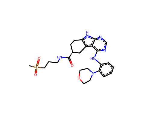 CS(=O)(=O)CCCNC(=O)[C@H]1CCc2[nH]c3ncnc(Nc4ccccc4N4CCOCC4)c3c2C1